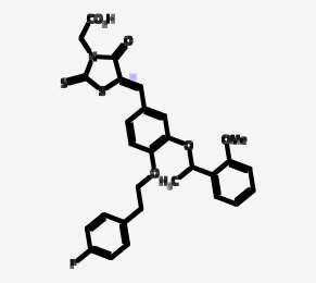 COc1ccccc1C(C)Oc1cc(/C=C2\SC(=S)N(CC(=O)O)C2=O)ccc1OCCc1ccc(F)cc1